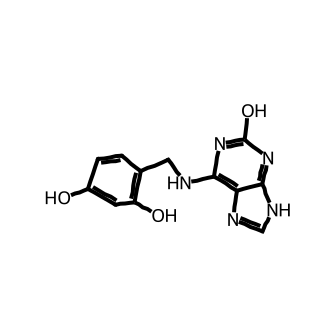 Oc1ccc(CNc2nc(O)nc3[nH]cnc23)c(O)c1